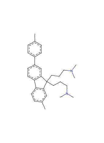 Cc1ccc(-c2ccc3c(c2)C(CCCN(C)C)(CCCN(C)C)c2cc(C)ccc2-3)cc1